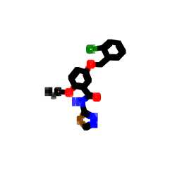 COc1ccc(OCc2ccccc2Cl)cc1C(=O)Nc1nncs1